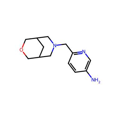 Nc1ccc(CN2CC3COCC(C3)C2)nc1